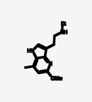 CCNCCc1c[nH]c2c(C)cc(OC)nc12